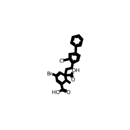 CC1C(C(=O)O)=CC(Br)=CC1(CCc1ccc(-c2ccccc2)cc1Cl)C(=O)O